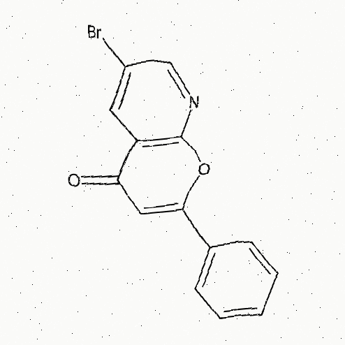 O=c1cc(-c2ccccc2)oc2ncc(Br)cc12